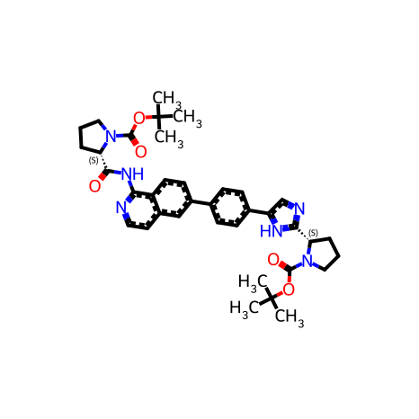 CC(C)(C)OC(=O)N1CCC[C@H]1C(=O)Nc1nccc2cc(-c3ccc(-c4cnc([C@@H]5CCCN5C(=O)OC(C)(C)C)[nH]4)cc3)ccc12